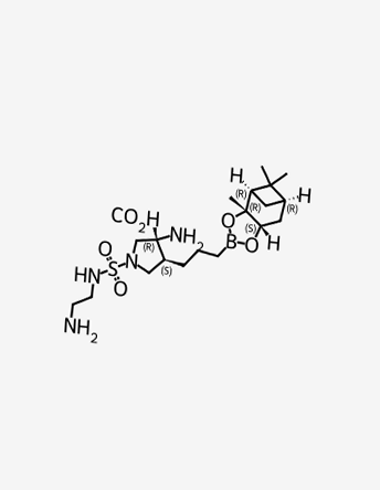 CC1(C)[C@H]2C[C@@H]3OB(CCC[C@H]4CN(S(=O)(=O)NCCN)C[C@@]4(N)C(=O)O)O[C@]3(C)[C@@H]1C2